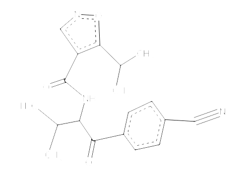 CC(C)c1oncc1C(=O)NC(C(=O)c1ccc(C#N)cc1)C(C)C